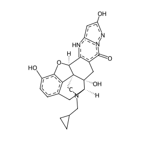 O=c1c2c([nH]c3cc(O)nn13)[C@@H]1Oc3c(O)ccc4c3[C@@]13CCN(CC1CC1)[C@H](C4)[C@]3(O)C2